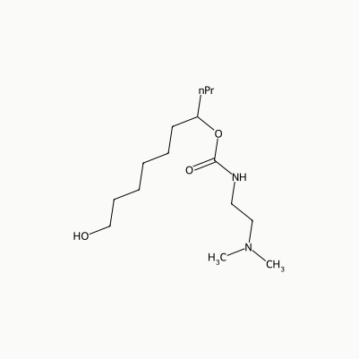 CCCC(CCCCCCO)OC(=O)NCCN(C)C